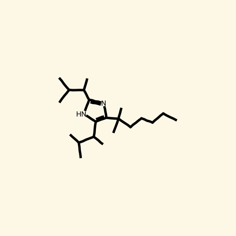 CCCCCC(C)(C)c1nc(C(C)C(C)C)[nH]c1C(C)C(C)C